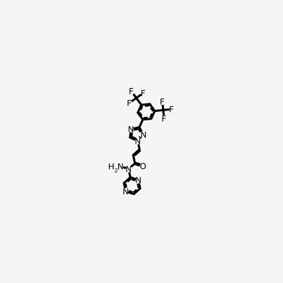 NN(C(=O)C=Cn1cnc(-c2cc(C(F)(F)F)cc(C(F)(F)F)c2)n1)c1cnccn1